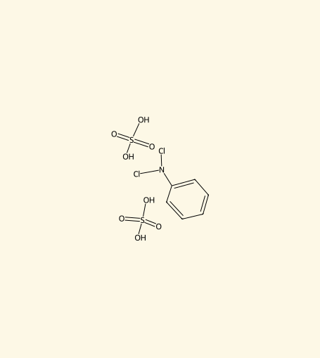 ClN(Cl)c1ccccc1.O=S(=O)(O)O.O=S(=O)(O)O